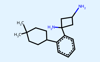 CC1(C)CCC(c2ccccc2C2(N)CC(N)C2)CC1